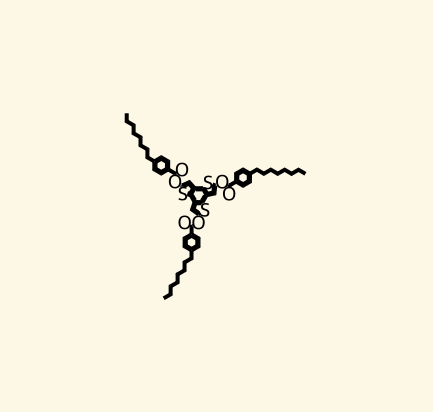 CCCCCCCCc1ccc(C(=O)Oc2cc3c(s2)c2cc(OC(=O)c4ccc(CCCCCCCC)cc4)sc2c2cc(OC(=O)c4ccc(CCCCCCCC)cc4)sc32)cc1